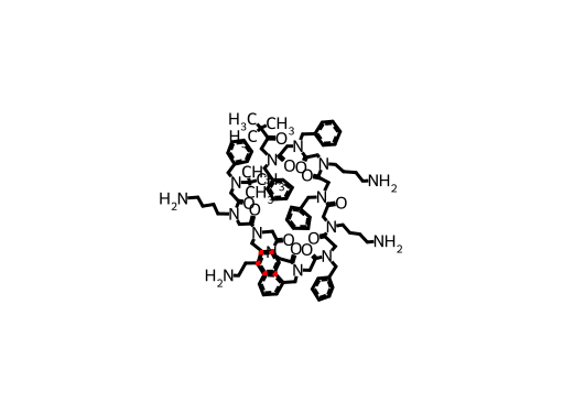 CC(C)(C)C(=O)CN(Cc1ccccc1)C(=O)CN(Cc1ccccc1)C(=O)CN(CCCCN)C(=O)CN(Cc1ccccc1)C(=O)CN(CCCCN)C(=O)CN(Cc1ccccc1)C(=O)CN(Cc1ccccc1)C(=O)CN(CCCCN)C(=O)CN(Cc1ccccc1)C(=O)CN(CCCCN)C(=O)CN(Cc1ccccc1)C(C)(C)C